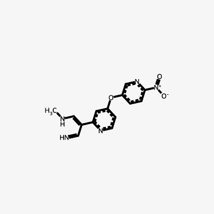 CN/C=C(\C=N)c1cc(Oc2ccc([N+](=O)[O-])nc2)ccn1